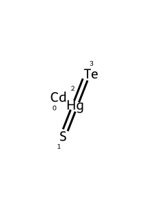 [Cd].[S]=[Hg]=[Te]